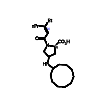 CCC/C(=C\C(=O)N1CC(NC2CCCCCCCCC2)C[C@H]1C(=O)O)CC